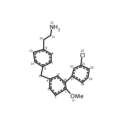 COc1ccc(Cc2ccc(CCN)cc2)cc1-c1cccc(Cl)c1